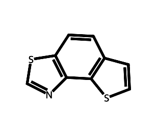 c1nc2c(ccc3ccsc32)s1